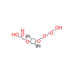 CC(C)C1CC(OCCC(O)CO)C(C(C)C)CC1OCCOCCOCCO